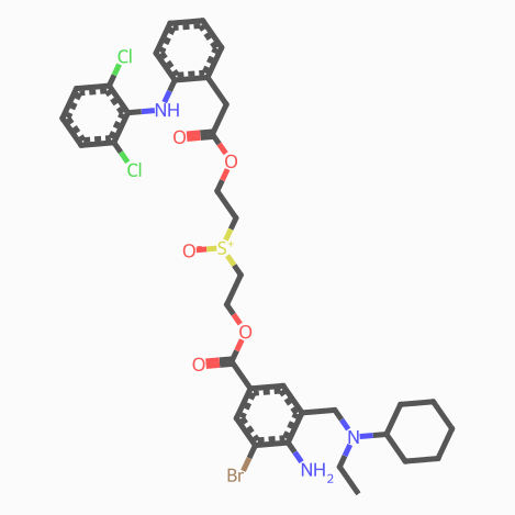 CCN(Cc1cc(C(=O)OCC[S+]([O-])CCOC(=O)Cc2ccccc2Nc2c(Cl)cccc2Cl)cc(Br)c1N)C1CCCCC1